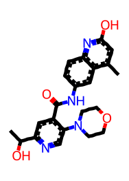 Cc1cc(O)nc2ccc(NC(=O)c3cc(C(C)O)ncc3N3CCOCC3)cc12